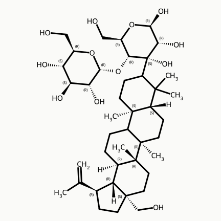 C=C(C)[C@@H]1CC[C@]2(CO)CC[C@]3(C)[C@H](CCC4[C@@]5(C)CCC([C@@]6(O)[C@H](O[C@H]7O[C@H](CO)[C@@H](O)[C@H](O)[C@H]7O)[C@@H](CO)O[C@@H](O)[C@@H]6O)C(C)(C)[C@@H]5CC[C@]43C)[C@@H]12